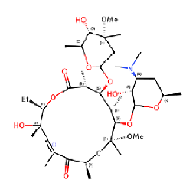 CC[C@H]1OC(=O)[C@H](C)[C@@H](OC2C[C@@](C)(OC)[C@@H](O)[C@H](C)O2)[C@H](C)[C@@H](OC2O[C@H](C)C[C@H](N(C)C)[C@H]2O)[C@](C)(OC)C[C@@H](C)C(=O)/C(C)=C/[C@]1(C)O